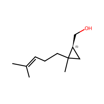 CC(C)=CCCC1(C)C[C@@H]1CO